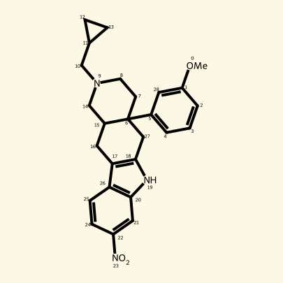 COc1cccc(C23CCN(CC4CC4)CC2Cc2c([nH]c4cc([N+](=O)[O-])ccc24)C3)c1